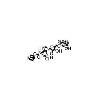 O=C(Nc1nc(Cl)nc2c1ncn2C1OC(COP(=O)(O)CP(=O)(O)O)C(O)C1O)OC1CN2CCC1CC2